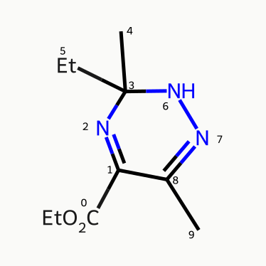 CCOC(=O)C1=NC(C)(CC)NN=C1C